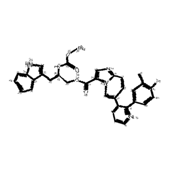 Cc1cc(-c2ncccc2-c2ccc3ncc(C(=O)OC[C@@H](Cc4c[nH]c5ccccc45)NC(=O)OC(C)(C)C)n3c2)ccc1F